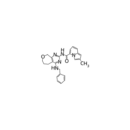 Cc1cc2cccc(C(=O)Nc3nc4c(c(NCc5ccccc5)n3)CCCOC4)n2c1